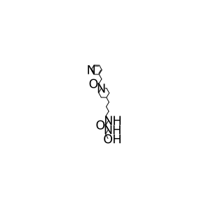 O=C(NCO)NCCCCC1CCN(C(=O)Cc2cccnc2)CC1